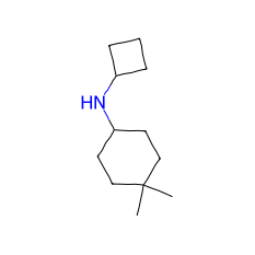 CC1(C)CCC(NC2CCC2)CC1